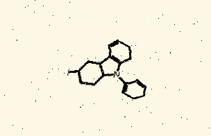 IC1CCC2C(C1)C1=C(CCC=C1)N2C1=CCCC=C1